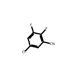 N#Cc1cc(Cl)cc(F)c1F